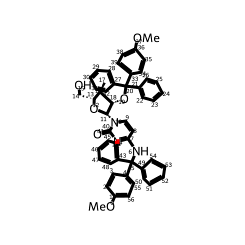 COc1ccc(C(Nc2ccn([C@@H]3O[C@H](CO)[C@@H](C)[C@@H]3OC(c3ccccc3)(c3ccccc3)c3ccc(OC)cc3)c(=O)n2)(c2ccccc2)c2ccccc2)cc1